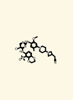 COc1cc(N2CCC(N3CC(CC#N)C3)CC2)c(C)cc1Nc1ncc(Cl)c(Nc2ccc3c(c2P(C)(C)=O)OCCO3)n1